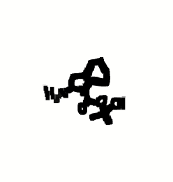 CC(C)(C#N)OC(=O)N1c2ccccc2CC1N